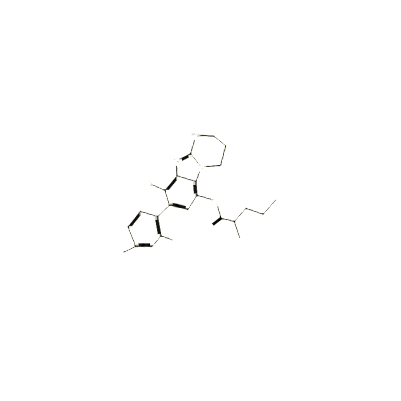 CCCC(C)C(=O)Oc1cc(-c2ccc(Cl)cc2Cl)c(Cl)c2nc3n(c12)CCCN3